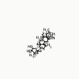 C[C@H](O)[C@H]1CC[C@@]2(N)C3CC[C@H]4C[C@H](O[C@@H]5C[C@H](O)[C@H](O)[C@@H](C)O5)CC[C@]4(C)C3C[C@H](O)[C@]12C